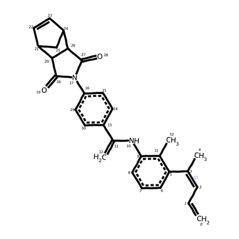 C=C/C=C(/C)c1cccc(NC(=C)c2ccc(N3C(=O)C4C5C=CC(C5)C4C3=O)cc2)c1C